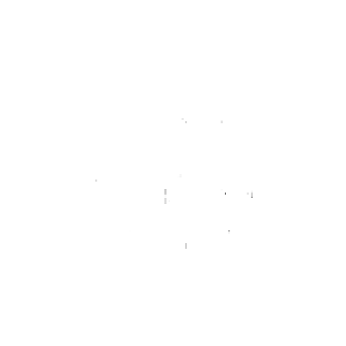 C[C@H](NC(=O)OC(C)(C)C)c1ncnn1-c1cc(Cl)ncn1